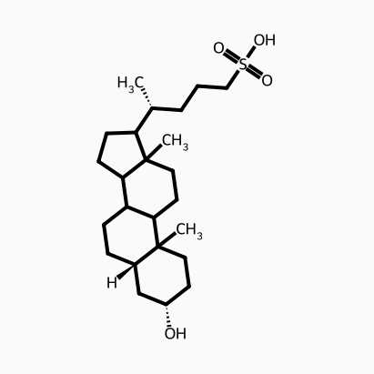 C[C@H](CCCS(=O)(=O)O)C1CCC2C3CC[C@H]4C[C@@H](O)CCC4(C)C3CCC21C